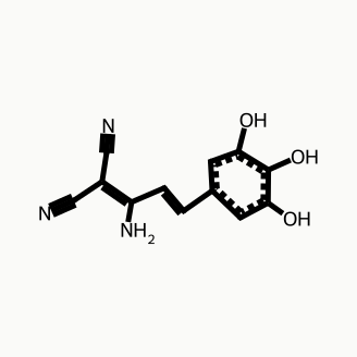 N#CC(C#N)=C(N)C=Cc1cc(O)c(O)c(O)c1